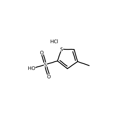 Cc1csc(S(=O)(=O)O)c1.Cl